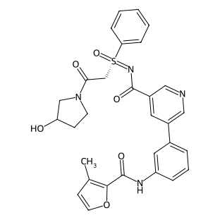 Cc1ccoc1C(=O)Nc1cccc(-c2cncc(C(=O)N=[S@](=O)(CC(=O)N3CCC(O)C3)c3ccccc3)c2)c1